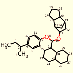 CCC(C)c1ccc(OC(OC2CC3CC2C2CCCC32)C2CCCC3CCCCC32)cc1